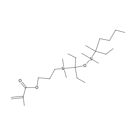 C=C(C)C(=O)OCCC[Si](C)(C)C(CC)(CC)O[Si](C)(C)C(C)(CC)CCCC